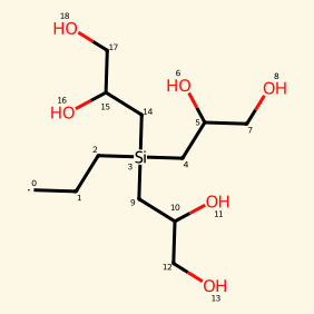 [CH2]CC[Si](CC(O)CO)(CC(O)CO)CC(O)CO